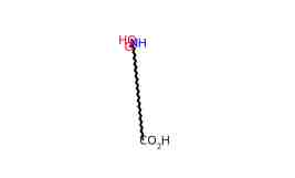 O=C(O)CCCCCCCCCCCCCCCCCCCCCCCCCCCCCCC(=O)NO